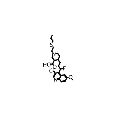 CCCSCCN1CCC(CCC(F)c2c(Cl)cnc3ccc(OC)cc23)C(C(=O)O)C1